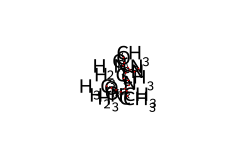 CCOC(=O)C[C@H](N)c1cc(-c2cncc(CC(C)(C)c3cc(-c4cncnc4)cc([C@@H](N)CC(=O)OCC)c3)c2)cc(C(C)(C)C)c1